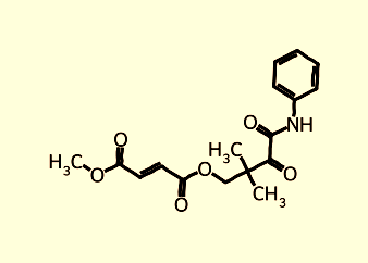 COC(=O)/C=C/C(=O)OCC(C)(C)C(=O)C(=O)Nc1ccccc1